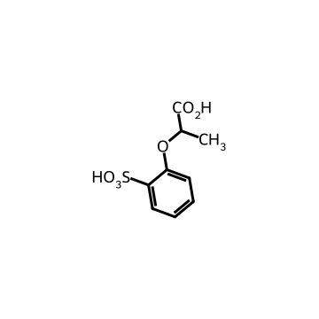 CC(Oc1ccccc1S(=O)(=O)O)C(=O)O